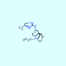 CN(c1nccc(C(F)(F)F)n1)C1CCc2c(c3cc(F)ccc3n2CC(=O)O)C1